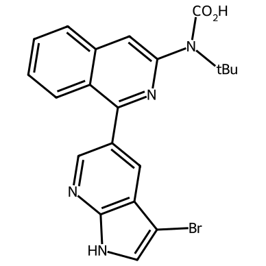 CC(C)(C)N(C(=O)O)c1cc2ccccc2c(-c2cnc3[nH]cc(Br)c3c2)n1